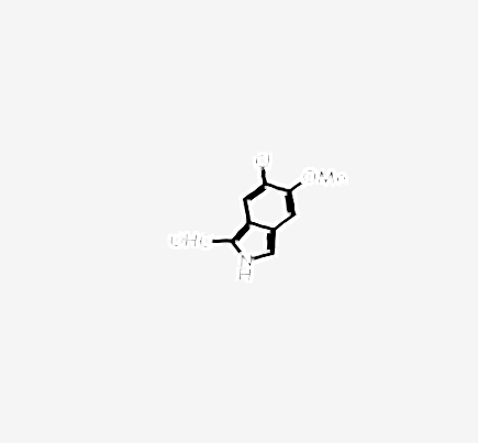 COc1cc2c[nH]c(C=O)c2cc1Cl